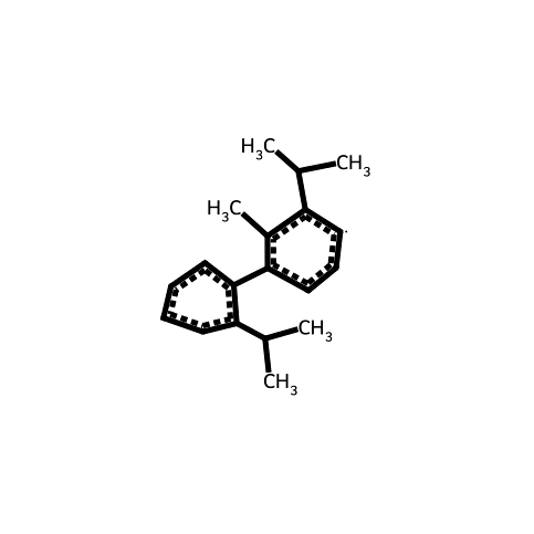 Cc1c(C(C)C)[c]ccc1-c1ccccc1C(C)C